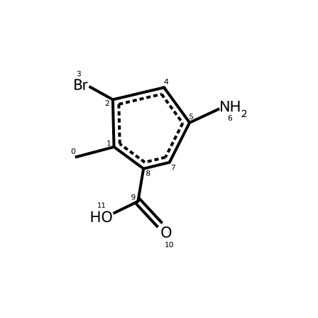 Cc1c(Br)cc(N)cc1C(=O)O